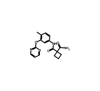 Cc1ccc(NC(=O)C2(C(N)=O)CCC2)cc1Oc1ncccn1